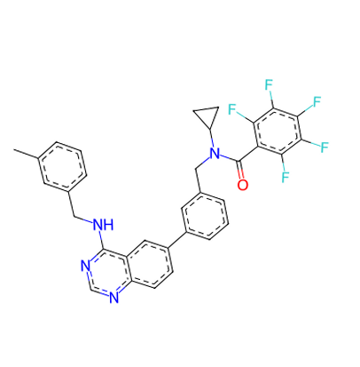 Cc1cccc(CNc2ncnc3ccc(-c4cccc(CN(C(=O)c5c(F)c(F)c(F)c(F)c5F)C5CC5)c4)cc23)c1